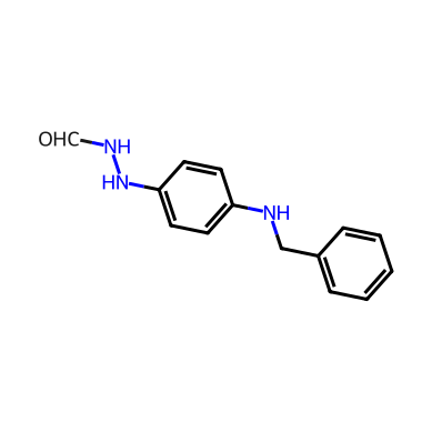 O=CNNc1ccc(NCc2ccccc2)cc1